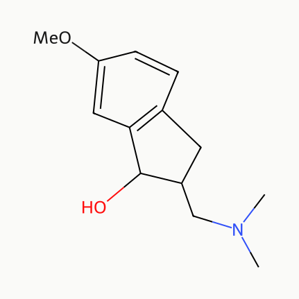 COc1ccc2c(c1)C(O)C(CN(C)C)C2